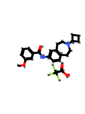 COc1cccc(C(=O)Nc2ccc3c(c2)CCN(C2CCC2)CC3)c1.O=C(O)C(F)(F)F